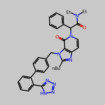 CCCCc1nc2ccn(C(C(=O)N(CC)CC)c3ccccc3)c(=O)c2n1Cc1ccc(-c2ccccc2-c2nnn[nH]2)cc1